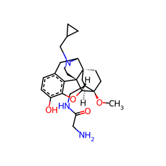 CO[C@]12CC[C@@]3(C[C@@H]1CNC(=O)CN)C1Cc4ccc(O)c5c4[C@@]3(CCN1CC1CC1)[C@H]2O5